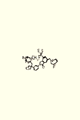 Cn1cnnc1CC1(c2cccc(N3Cc4c(cc(CN5CC[C@H](F)C5)cc4C(F)(F)F)C3=O)c2)COC1